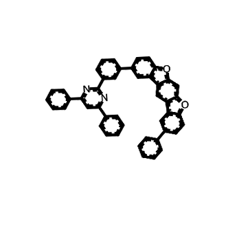 c1ccc(-c2ccc3oc4cc5oc6ccc(-c7cccc(-c8nc(-c9ccccc9)cc(-c9ccccc9)n8)c7)cc6c5cc4c3c2)cc1